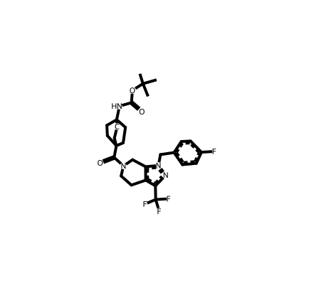 CC(C)(C)OC(=O)NC12CCC(C(=O)N3CCc4c(C(F)(F)F)nn(Cc5ccc(F)cc5)c4C3)(CC1)CC2